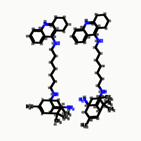 CC=C1C2C=C(C)CC1(NCCCCCCCNc1c3c(nc4ccccc14)CCCC3)CC(N)C2(C)C.CC=C1C2C=C(C)C[C@]1(N)CC(NCCCCCCCNc1c3c(nc4ccccc14)CCCC3)C2(C)C